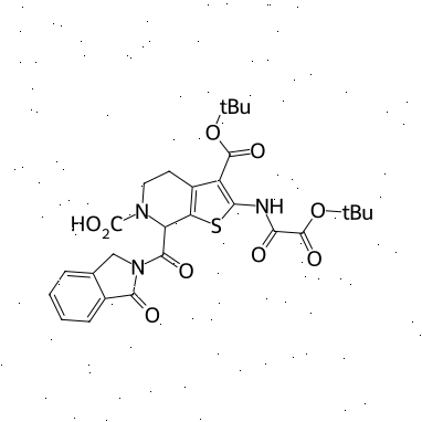 CC(C)(C)OC(=O)C(=O)Nc1sc2c(c1C(=O)OC(C)(C)C)CCN(C(=O)O)C2C(=O)N1Cc2ccccc2C1=O